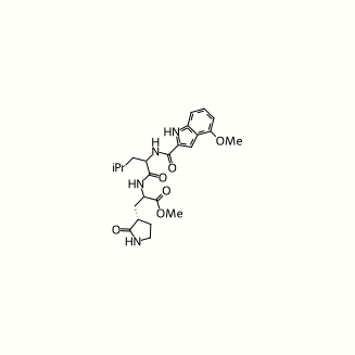 COC(=O)C(C[C@@H]1CCNC1=O)NC(=O)C(CC(C)C)NC(=O)c1cc2c(OC)cccc2[nH]1